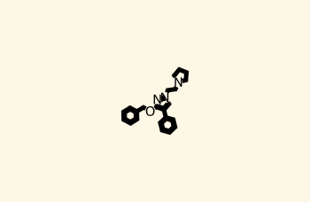 c1ccc(COc2nn(CCN3CCCC3)cc2-c2ccccc2)cc1